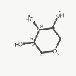 OC1COC[C@@H](O)[C@H]1O